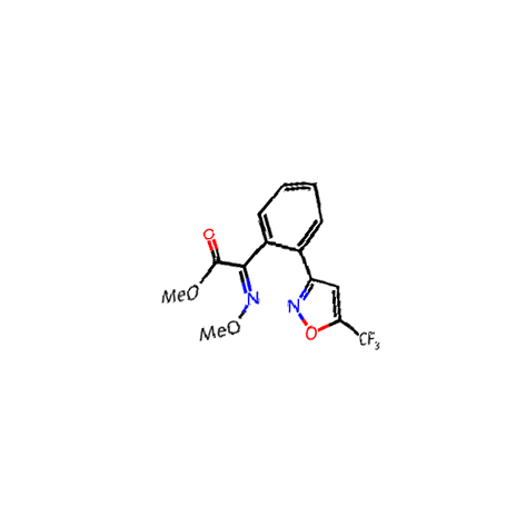 CON=C(C(=O)OC)c1ccccc1-c1cc(C(F)(F)F)on1